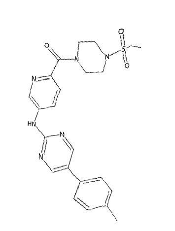 Cc1ccc(-c2cnc(Nc3ccc(C(=O)N4CCN(S(C)(=O)=O)CC4)nc3)nc2)cc1